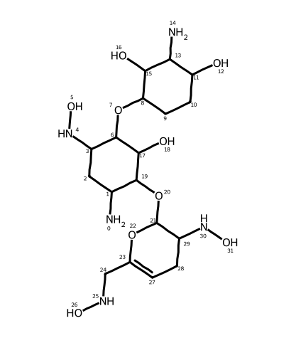 NC1CC(NO)C(OC2CCC(O)C(N)C2O)C(O)C1OC1OC(CNO)=CCC1NO